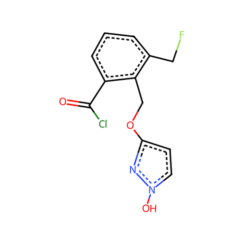 O=C(Cl)c1cccc(CF)c1COc1ccn(O)n1